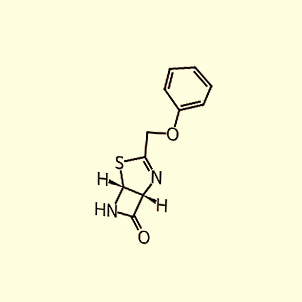 O=C1N[C@@H]2SC(COc3ccccc3)=N[C@H]12